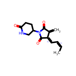 C=C1C(=O)N(C2CCC(=O)NC2)C(=O)/C1=C/C=C\C